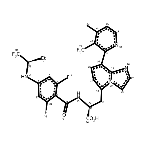 CC[C@@H](Nc1cc(F)c(C(=O)N[C@@H](Cc2ccc(-c3nccc(C)c3C(F)(F)F)c3nccn23)C(=O)O)c(F)c1)C(F)(F)F